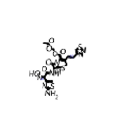 CC(=O)OCOC(=O)C1=C(/C=C/c2csnn2)CS[C@@H]2C(NC(=O)/C(=N\O)c3csc(N)n3)C(=O)N12